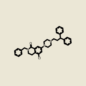 O=C1c2cc(N3CCN(CCC(c4ccccc4)c4ccccc4)CC3)cc(Cl)c2CCN1Cc1ccccc1